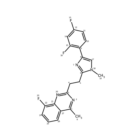 Cc1nc(CCc2nc(-c3ccc(F)cc3F)cn2C)nc2c(F)cccc12